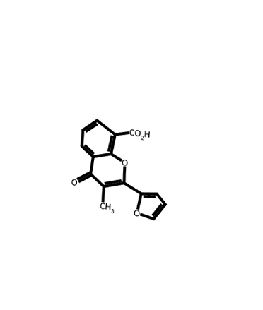 Cc1c(-c2ccco2)oc2c(C(=O)O)cccc2c1=O